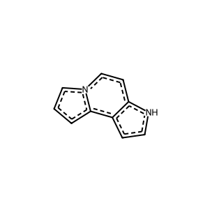 c1cc2c3cc[nH]c3ccn2c1